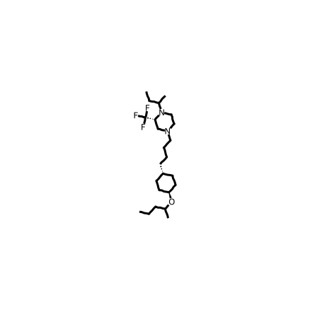 CCCC(C)O[C@H]1CC[C@H](CCCCN2CCN(C(C)CC)[C@@H](C(F)(F)F)C2)CC1